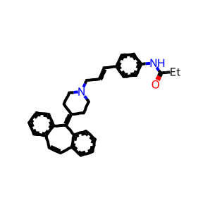 CCC(=O)Nc1ccc(C=CCN2CCC(=C3c4ccccc4C=Cc4ccccc43)CC2)cc1